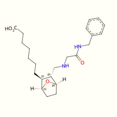 O=C(O)CCCCCC[C@H]1[C@H](CNCC(=O)NCc2ccccc2)[C@H]2CC[C@@H]1O2